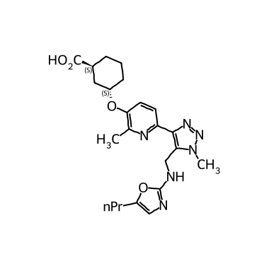 CCCc1cnc(NCc2c(-c3ccc(O[C@H]4CCC[C@H](C(=O)O)C4)c(C)n3)nnn2C)o1